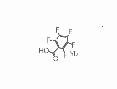 O=C(O)c1c(F)c(F)c(F)c(F)c1F.[Yb]